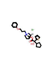 O=C(O[C@H]1C[N+]2(CCCOc3ccccc3)CCC1CC2)[C@@](O)(c1cccs1)C1CCCC1.[Br-]